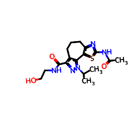 CC(=O)Nc1nc2c(s1)-c1c(c(C(=O)NCCO)nn1C(C)C)CCC2